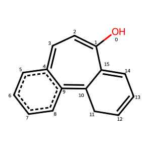 OC1=CC=c2ccccc2=C2CC=CC=C12